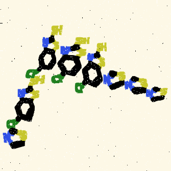 Sc1nc2cc(Cl)ccc2s1.Sc1nc2cc(Cl)ccc2s1.Sc1nc2cc(Cl)ccc2s1.Sc1nc2cc(Cl)ccc2s1.c1cscn1.c1cscn1.c1cscn1.c1cscn1